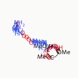 CO[C@H]1C[C@@H]2CC[C@@H](C)[C@@](O)(O2)C(=O)C(=O)N2CCCC[C@H]2C(=O)O[C@H]([C@H](N)C[C@@H]2CC[C@H](n3cc(-c4cnc(N5CCN(c6ncc(C(=O)NCCOCCOCCOCCC(=O)NCCCCn7nc(-c8ccc9oc(N)nc9c8)c8c(N)ncnc87)cn6)CC5)nc4)nn3)[C@H](OC)C2)CC(=O)[C@H](C)/C=C(\C)[C@@H](O)[C@@H](OC)C(=O)[C@H](C)C[C@H](C)/C=C/C=C/C=C/1C